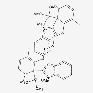 CO[Si](OC)(OC)C1(c2nc3ccccc3s2)C(SSSSSC2=C(C)C=CC(C)C2(c2nc3ccccc3s2)[Si](OC)(OC)OC)=C(C)C=CC1C